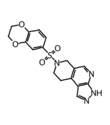 O=S(=O)(c1ccc2c(c1)OCCO2)N1CCc2c(cnc3[nH]ncc23)C1